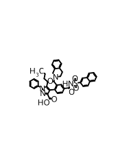 CCCCc1c(-c2ccc(C(=O)NS(=O)(=O)c3ccc4ccccc4c3)cc2C(=O)N2CCc3ccccc3C2)c(C(=O)O)nn1-c1ccccc1